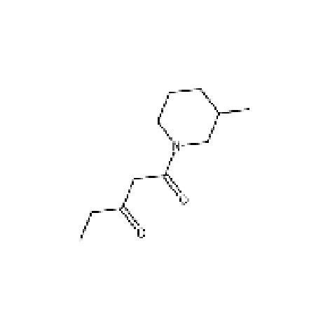 CCC(=O)CC(=O)N1CCCC(C)C1